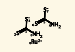 NC(=S)[S-].NC(=S)[S-].[Ru+2]